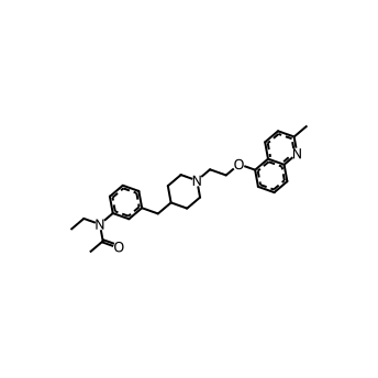 CCN(C(C)=O)c1cccc(CC2CCN(CCOc3cccc4nc(C)ccc34)CC2)c1